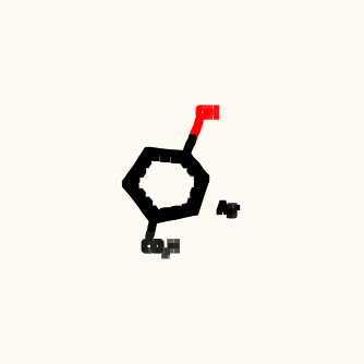 O=C(O)c1ccc(O)cc1.[Ag]